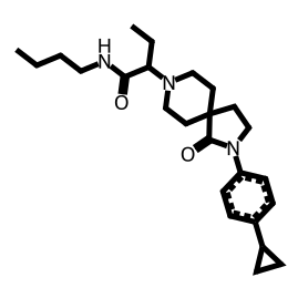 CCCCNC(=O)C(CC)N1CCC2(CCN(c3ccc(C4CC4)cc3)C2=O)CC1